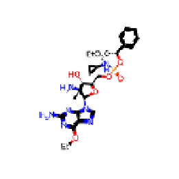 CCOC(=O)[C@@H](O[P@@](=O)(NC1CC1)OC[C@H]1O[C@@H](n2cnc3c(OCC)nc(N)nc32)[C@](C)(N)[C@@H]1O)c1ccccc1